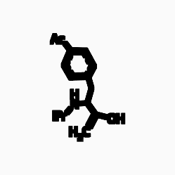 C=C(O)C(Cc1ccc(C(C)=O)cc1)NC(C)C